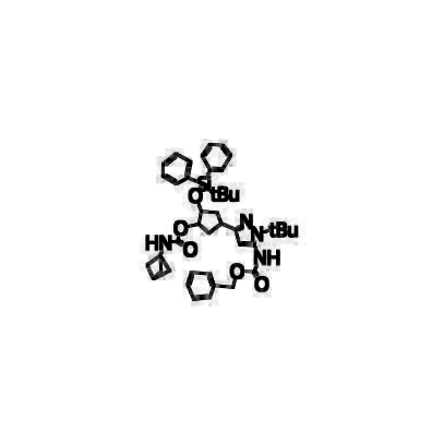 CC(C)(C)n1nc(C2CC(OC(=O)NC34CC(C3)C4)C(O[Si](c3ccccc3)(c3ccccc3)C(C)(C)C)C2)cc1NC(=O)OCc1ccccc1